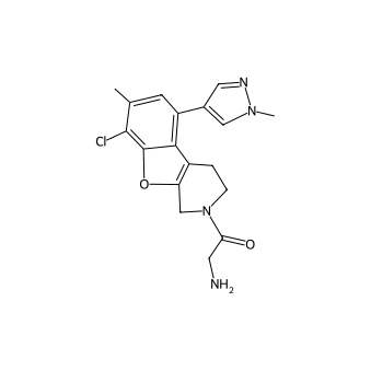 Cc1cc(-c2cnn(C)c2)c2c3c(oc2c1Cl)CN(C(=O)CN)CC3